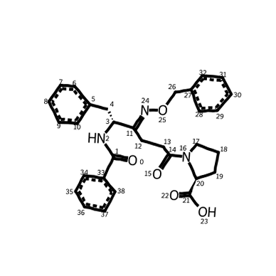 O=C(N[C@H](Cc1ccccc1)C(CCC(=O)N1CCC[C@H]1C(=O)O)=NOCc1ccccc1)c1ccccc1